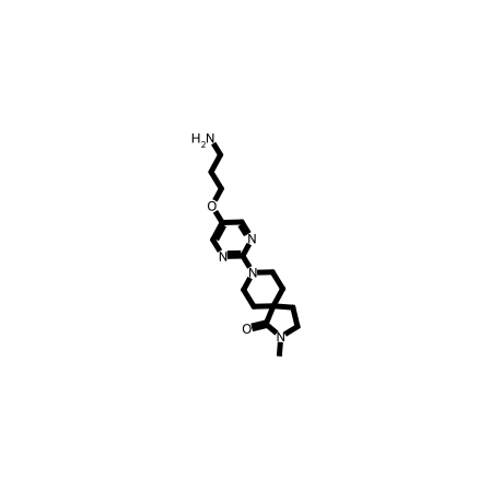 CN1CCC2(CCN(c3ncc(OCCCN)cn3)CC2)C1=O